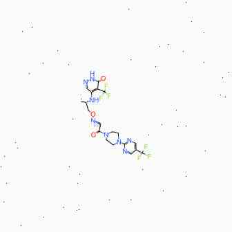 CC(CO/N=C/C(=O)N1CCN(c2ncc(C(F)(F)F)cn2)CC1)Nc1cn[nH]c(=O)c1C(F)(F)F